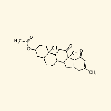 CC(=O)OC1CCC2(C)C(CCC3C2CC(=O)C2(C)C3CC3CC(C)=CC(=O)C32)C1